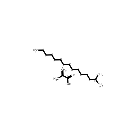 C=C(C)C(=O)O.CCCCCCCCCCCCCC(C)C